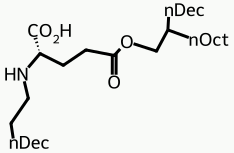 CCCCCCCCCCCCN[C@@H](CCC(=O)OCC(CCCCCCCC)CCCCCCCCCC)C(=O)O